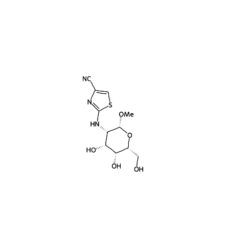 CO[C@@H]1O[C@H](CO)[C@H](O)[C@H](O)[C@@H]1Nc1nc(C#N)cs1